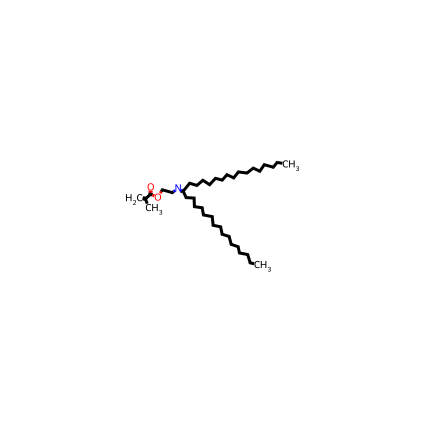 C=C(C)C(=O)OCCN=C(CCCCCCCCCCCCCCCC)CCCCCCCCCCCCCCCC